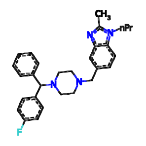 CCCn1c(C)nc2cc(CN3CCN(C(c4ccccc4)c4ccc(F)cc4)CC3)ccc21